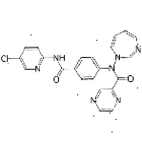 O=C(Nc1ccc(Cl)cn1)c1ccc(N(C(=O)c2cnccn2)N2C=CC=CN=C2)cc1